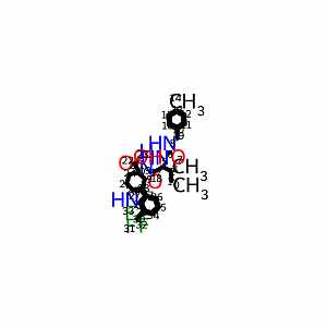 CCC(C)C(NC(=O)NCc1ccc(C)cc1)C(=O)NC1(C(=O)O)CCc2[nH]c3c(C(F)(F)F)cccc3c2C1